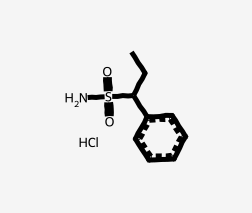 CCC(c1ccccc1)S(N)(=O)=O.Cl